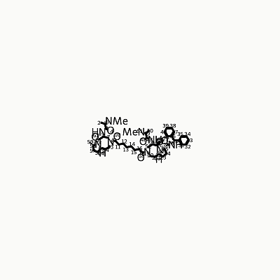 CN[C@@H](C)C(=O)N[C@H]1CN(C(=O)CCCCCCC(=O)N2CC[C@H]3CC[C@@H](C(=O)NC(c4ccccc4)c4ccccc4)N3C(=O)[C@@H](NC(=O)[C@H](C)NC)C2)CC[C@H]2CC[C@@H](C)N2C1=O